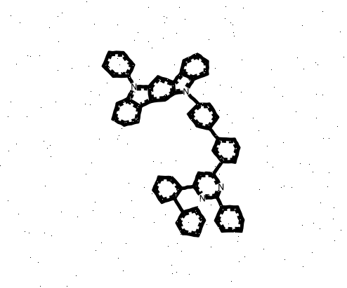 c1ccc(-c2nc(-c3cccc(-c4ccc(-n5c6ccccc6c6cc7c(cc65)c5ccccc5n7-c5ccccc5)cc4)c3)cc(-c3ccccc3-c3ccccc3)n2)cc1